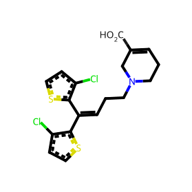 O=C(O)C1=CCCN(CCC=C(c2sccc2Cl)c2sccc2Cl)C1